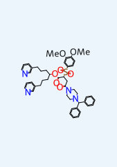 COc1ccc(S(=O)(=O)C(CC(=O)N2CCN(C(c3ccccc3)c3ccccc3)CC2)C(=O)OC(CCCc2cccnc2)CCCc2cccnc2)cc1OC